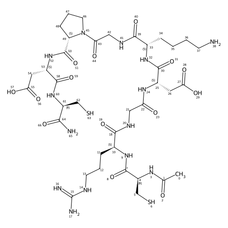 CC(=O)N[C@@H](CS)C(=O)N[C@@H](CCCNC(=N)N)C(=O)NCC(=O)N[C@@H](CC(=O)O)C(=O)N[C@@H](CCCCN)C(=O)NCC(=O)N1CCC[C@H]1C(=O)N[C@@H](CC(=O)O)C(=O)N[C@@H](CS)C(N)=O